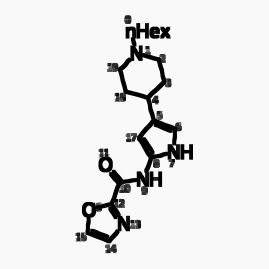 CCCCCCN1CCC(c2c[nH]c(NC(=O)c3ncco3)c2)CC1